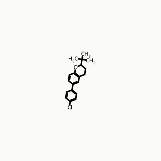 CC(C)(C)C1CCc2cc(-c3ccc(Cl)cc3)ccc2O1